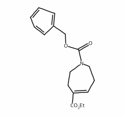 CCOC(=O)C1=CCCN(C(=O)OCc2ccccc2)CC1